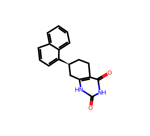 O=c1[nH]c2c(c(=O)[nH]1)CC[C@H](c1cccc3ccccc13)C2